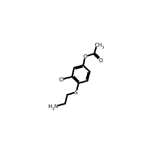 CC(=O)Oc1ccc(SCCN)c(Cl)c1